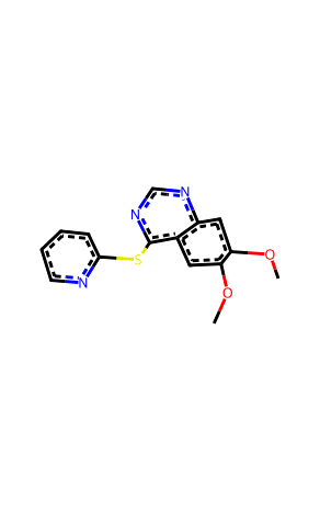 COc1cc2ncnc(Sc3ccccn3)c2cc1OC